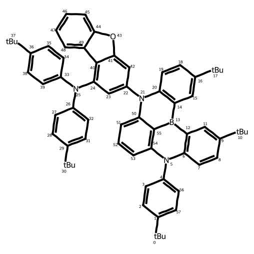 CC(C)(C)c1ccc(N2c3ccc(C(C)(C)C)cc3B3c4cc(C(C)(C)C)ccc4N(c4cc(N(c5ccc(C(C)(C)C)cc5)c5ccc(C(C)(C)C)cc5)c5c(c4)oc4ccccc45)c4cccc2c43)cc1